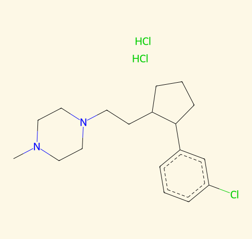 CN1CCN(CCC2CCCC2c2cccc(Cl)c2)CC1.Cl.Cl